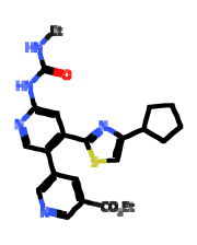 CCNC(=O)Nc1cc(-c2nc(C3CCCC3)cs2)c(-c2cncc(C(=O)OCC)c2)cn1